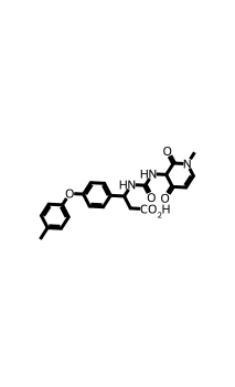 Cc1ccc(Oc2ccc(C(CC(=O)O)NC(=O)NC3C(=O)C=CN(C)C3=O)cc2)cc1